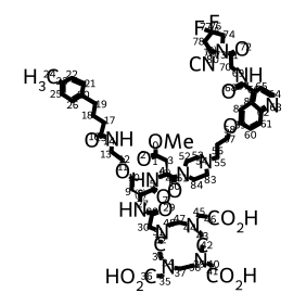 COC(=O)C[C@H](NC(=O)[C@H](CCOCCNC(=O)CCCc1ccc(C)cc1)NC(=O)CN1CCN(CC(=O)O)CCN(CC(=O)O)CCN(CC(=O)O)CC1)C(=O)N1CCN(CCCOc2ccc3nccc(C(=O)NCC(=O)N4CC(F)(F)C[C@@H]4C#N)c3c2)CC1